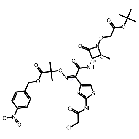 C[C@H]1[C@H](NC(=O)/C(=N\OC(C)(C)C(=O)OCc2ccc([N+](=O)[O-])cc2)c2csc(NC(=O)CCl)n2)C(=O)N1OCC(=O)OC(C)(C)C